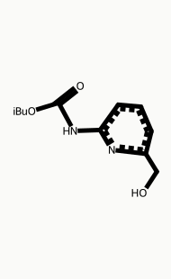 CC(C)COC(=O)Nc1cccc(CO)n1